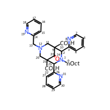 CCCCCCCCN1C(c2ccccn2)C2(C(=O)O)CN(Cc3ccccn3)CC(C(=O)O)(C2=O)C1c1ccccn1